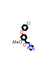 COc1cc(Oc2ccc(Cl)cc2)ccc1C(=O)Cn1cncn1